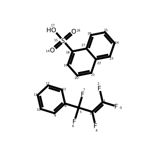 FC(F)=C(F)C(F)(F)c1ccccc1.O=S(=O)(O)c1cccc2ccccc12